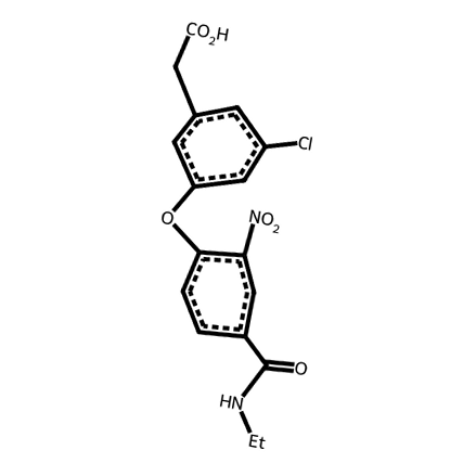 CCNC(=O)c1ccc(Oc2cc(Cl)cc(CC(=O)O)c2)c([N+](=O)[O-])c1